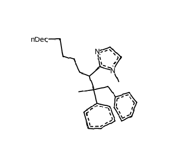 CCCCCCCCCCCCCCC(c1nccn1C)C(C)(Cc1ccccc1)c1ccccc1